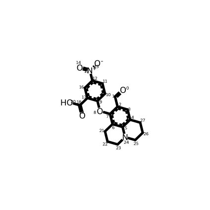 O=Cc1cc2c3c(c1Oc1ccc([N+](=O)[O-])cc1C(=O)O)CCCN3CCC2